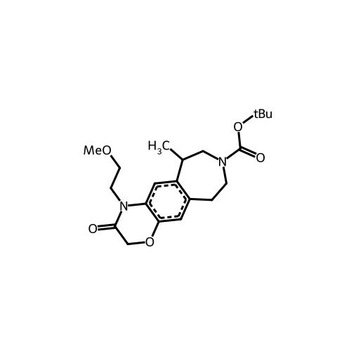 COCCN1C(=O)COc2cc3c(cc21)C(C)CN(C(=O)OC(C)(C)C)CC3